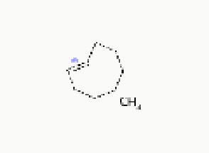 C.C1=C/CCCCCC/1